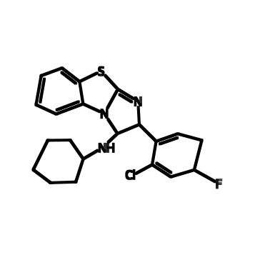 FC1C=C(Cl)C(C2N=C3Sc4ccccc4N3C2NC2CCCCC2)=CC1